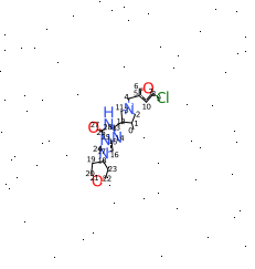 CC1CN(Cc2coc(Cl)c2)CC1C1=NC2=CN(C3CCOCC3)CN2C(=O)N1